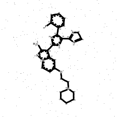 Cc1nn2ccc(OCCN3CCCCC3)cc2c1-c1nc(-c2ccccc2F)c(C2=NCC=N2)s1